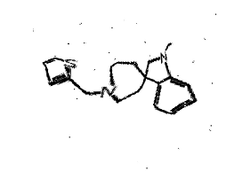 CN1CC2(CCN(Cc3cc[c]s3)CC2)c2ccccc21